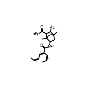 C\C=C/C=C(\C=C/C)C(=O)NC1CC2(C)OC1(C)C(C(=O)CCC)C2C(C)=O